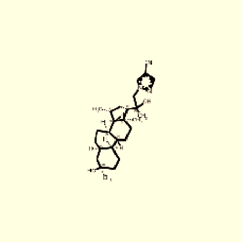 C[C@@H]1C[C@H]([C@@](C)(O)Cn2cc(C#N)cn2)[C@@]2(C)CC[C@H]3[C@@H](CC[C@@H]4C[C@](C)(O)CC[C@@H]43)[C@H]12